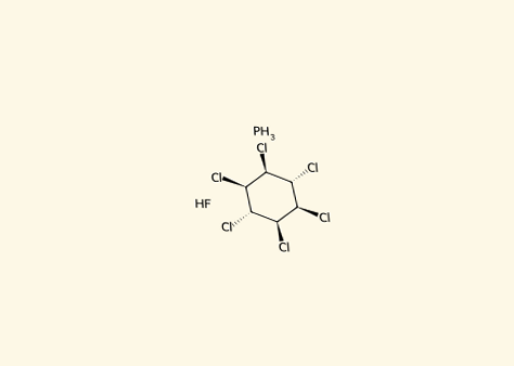 Cl[C@H]1[C@H](Cl)[C@@H](Cl)[C@@H](Cl)[C@H](Cl)[C@H]1Cl.F.P